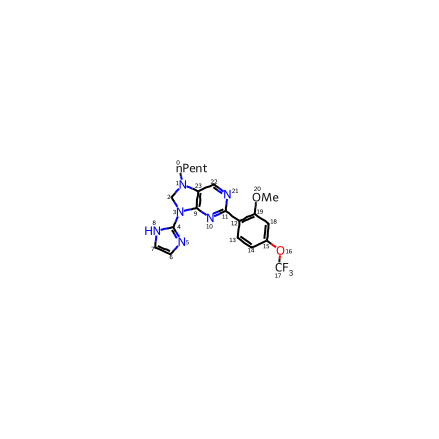 CCCCCN1CN(c2ncc[nH]2)c2nc(-c3ccc(OC(F)(F)F)cc3OC)ncc21